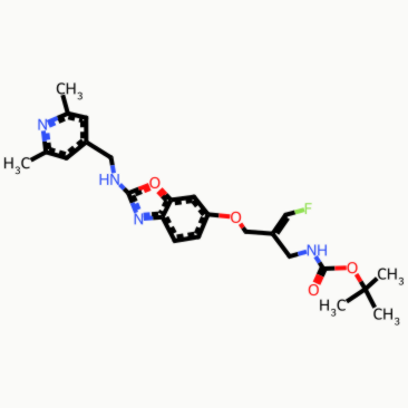 Cc1cc(CNc2nc3ccc(OCC(=CF)CNC(=O)OC(C)(C)C)cc3o2)cc(C)n1